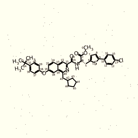 COC(=O)[C@H](Cc1ccc(-c2ccc(Cl)cc2)s1)NC(=O)c1cc2ccc(Oc3ccc(C(C)(C)C)cc3)cc2c(CC2CCCC2)n1